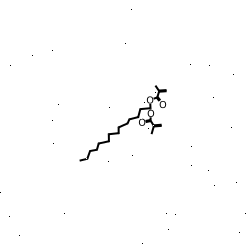 C=C(C)C(=O)OC(CCCCCCCCCCCCC)OC(=O)C(=C)C